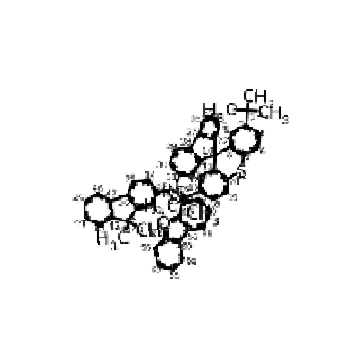 CC(C)(C)c1ccc2c(c1)C1(c3cc(C(C)(C)C)ccc3S2)c2ccccc2-c2ccc(N(c3ccc4c(c3)C(C)(C)c3ccccc3-4)c3cccc4c3oc3ccccc34)cc21